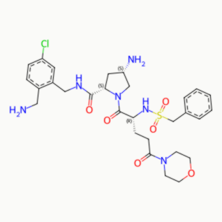 NCc1ccc(Cl)cc1CNC(=O)[C@@H]1C[C@H](N)CN1C(=O)[C@@H](CCC(=O)N1CCOCC1)NS(=O)(=O)Cc1ccccc1